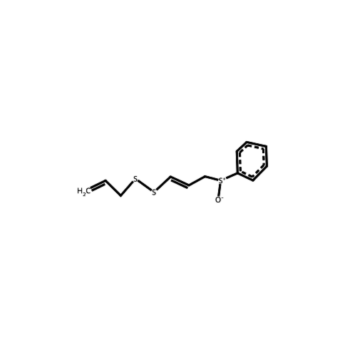 C=CCSS/C=C/C[S+]([O-])c1ccccc1